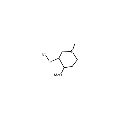 CCOC1CN(C)CCC1OC